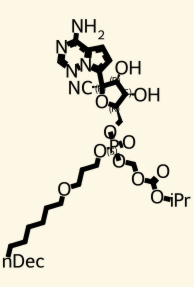 CCCCCCCCCCCCCCCCOCCCO[P@](=O)(OCOC(=O)OC(C)C)OC[C@H]1O[C@@](C#N)(c2ccc3c(N)ncnn23)[C@H](O)[C@@H]1O